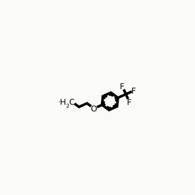 [CH2]CCOc1ccc(C(F)(F)F)cc1